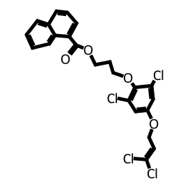 O=C(OCCCOc1c(Cl)cc(OCC=C(Cl)Cl)cc1Cl)c1cccc2ccccc12